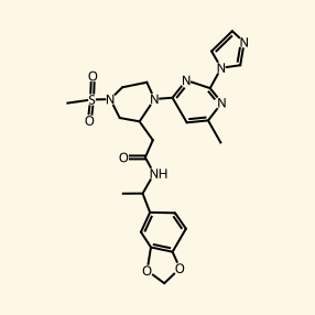 Cc1cc(N2CCN(S(C)(=O)=O)CC2CC(=O)NC(C)c2ccc3c(c2)OCO3)nc(-n2ccnc2)n1